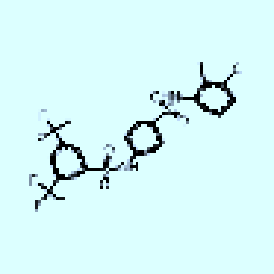 Cc1c(Cl)cccc1NS(=O)(=O)c1ccc(NS(=O)(=O)c2cc(C(F)(F)F)cc(C(F)(F)F)c2)cc1